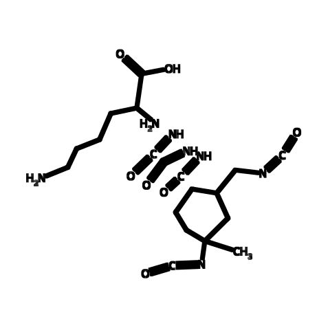 CC1(N=C=O)CCCC(CN=C=O)C1.N=C=O.N=C=O.N=C=O.NCCCCC(N)C(=O)O